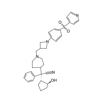 N#CC(c1ccccc1)(C1CCN(CC2CN(c3ccc(S(=O)(=O)c4ccncc4)cc3)C2)CC1)[C@H]1CCC[C@@H]1O